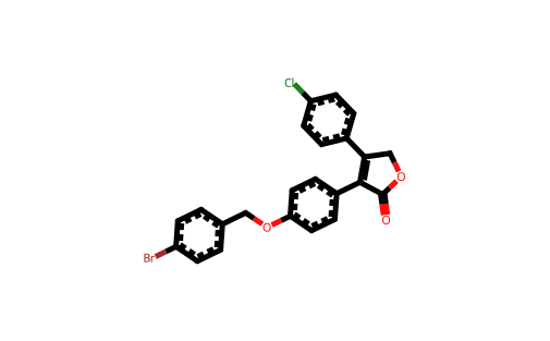 O=C1OCC(c2ccc(Cl)cc2)=C1c1ccc(OCc2ccc(Br)cc2)cc1